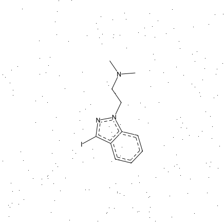 CN(C)CCn1nc(I)c2ccccc21